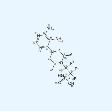 CCCN(C[C@@H](C)OC(F)(F)C(F)(F)P(=O)(O)O)c1ncnc(N)c1N